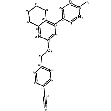 Cc1ncc(-c2cc(OCc3ccc(C#N)cn3)nc3c2CCCC3)cn1